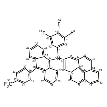 Fc1cc(N(c2cc3ccc4cccc5ccc(c2)c3c45)c2c3ccccc3c(-c3ccc(C(F)(F)F)cc3)c3ccccc23)cc(F)c1F